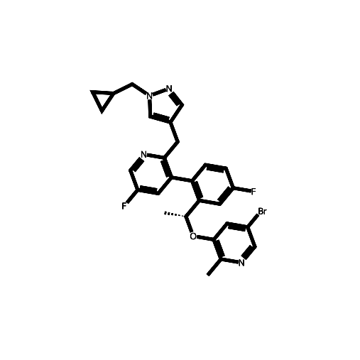 Cc1ncc(Br)cc1O[C@H](C)c1cc(F)ccc1-c1cc(F)cnc1Cc1cnn(CC2CC2)c1